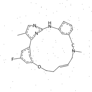 Cc1cnc2nc1-c1cc(F)cc(c1)OCC/C=C/CN(C)Cc1cccc(c1)N2